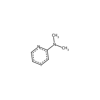 CN(C)c1c[c]ccn1